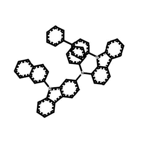 c1ccc(-c2ccc(-n3c4ccccc4c4cccc(N(c5ccccc5)c5ccc6c7ccccc7n(-c7ccc8ccccc8c7)c6c5)c43)cc2)cc1